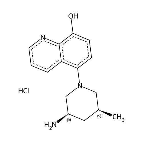 C[C@H]1C[C@@H](N)CN(c2ccc(O)c3ncccc23)C1.Cl